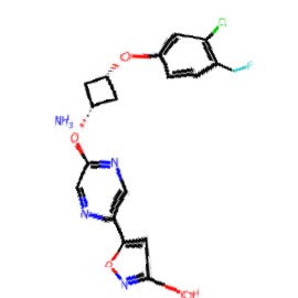 N.Oc1cc(-c2cnc(O[C@H]3C[C@@H](Oc4ccc(F)c(Cl)c4)C3)cn2)on1